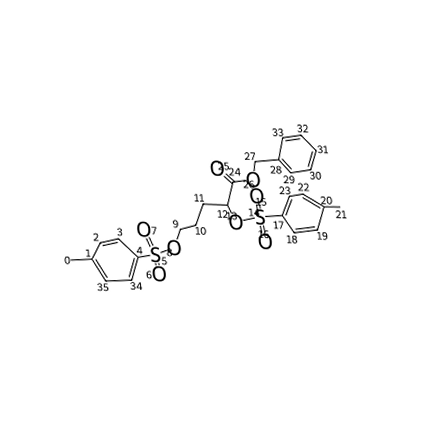 Cc1ccc(S(=O)(=O)OCCCC(OS(=O)(=O)c2ccc(C)cc2)C(=O)OCc2ccccc2)cc1